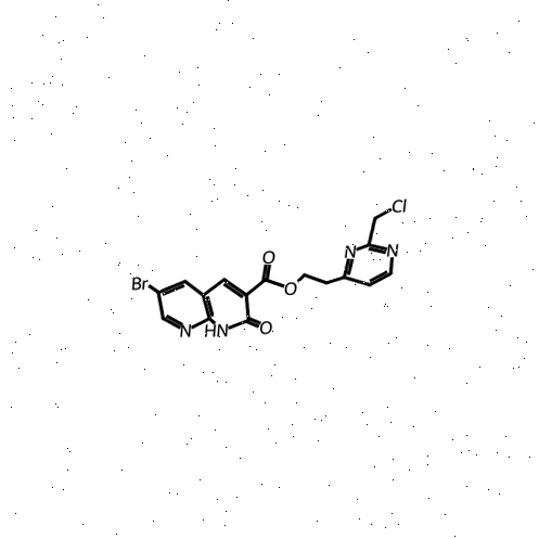 O=C(OCCc1ccnc(CCl)n1)c1cc2cc(Br)cnc2[nH]c1=O